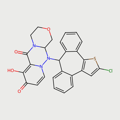 O=C1c2c(O)c(=O)ccn2N(C2c3ccccc3-c3cc(Cl)sc3-c3ccccc32)C2COCCN12